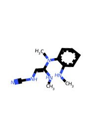 CN/C(=C\NC#N)N(C)c1ccccc1NC